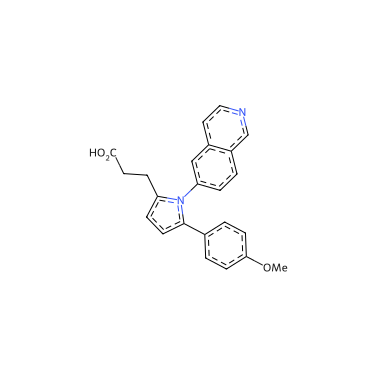 COc1ccc(-c2ccc(CCC(=O)O)n2-c2ccc3cnccc3c2)cc1